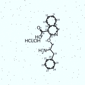 Cl.Cl.NC(COc1ncc2ccccc2c1C(=O)O)Cc1ccccc1